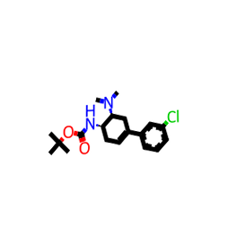 CN(C)[C@H]1CC(c2cccc(Cl)c2)=CC[C@@H]1NC(=O)OC(C)(C)C